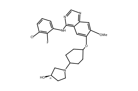 COc1cc2ncnc(Nc3cccc(Cl)c3F)c2cc1OC1CCC(N2CC[C@@H](O)C2)CC1